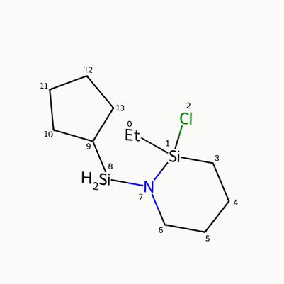 CC[Si]1(Cl)CCCCN1[SiH2]C1CCCC1